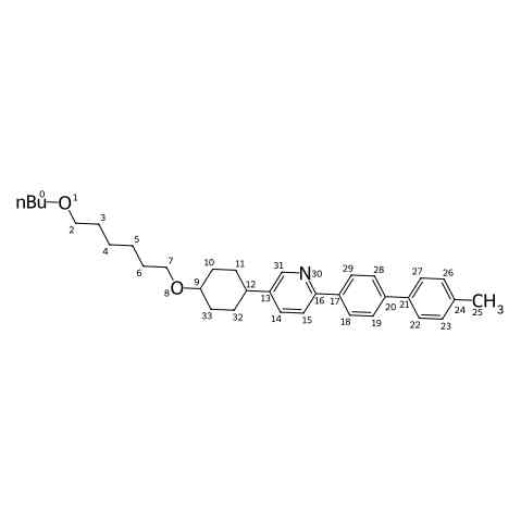 CCCCOCCCCCCOC1CCC(c2ccc(-c3ccc(-c4ccc(C)cc4)cc3)nc2)CC1